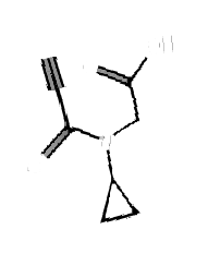 C#CC(=O)N(CC(=O)O)C1CC1